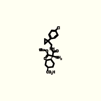 CC(C)(C)OC(=O)C(N)(C(=O)NCC1(c2ccc(Cl)cc2)CC1)[C@H]1CC[C@H](C(=O)O)CC1